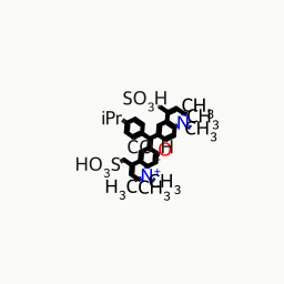 CC(C)c1ccc(C2=c3cc4c(cc3Oc3cc5c(cc32)C(CS(=O)(=O)O)=CC(C)(C)N5C)=[N+](C)C(C)(C)C=C4CS(=O)(=O)O)c(C(=O)O)c1